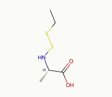 CCSSN[C@@H](C)C(=O)O